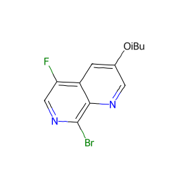 CC(C)COc1cnc2c(Br)ncc(F)c2c1